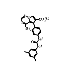 CCOC(=O)c1cn2ncnc(N)c2c1-c1ccc(NC(=O)Nc2cc(C)cc(C)c2)cc1